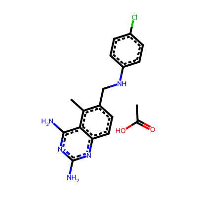 CC(=O)O.Cc1c(CNc2ccc(Cl)cc2)ccc2nc(N)nc(N)c12